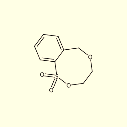 O=S1(=O)OCCOCc2ccccc21